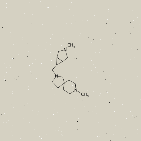 CN1CCC2(CC1)CCN(CC1C3CN(C)CC31)C2